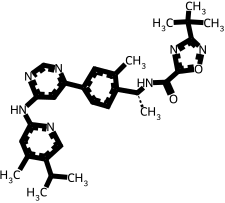 Cc1cc(Nc2cc(-c3ccc([C@@H](C)NC(=O)c4nc(C(C)(C)C)no4)c(C)c3)ncn2)ncc1C(C)C